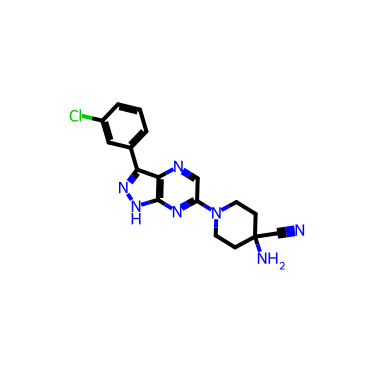 N#CC1(N)CCN(c2cnc3c(-c4cccc(Cl)c4)n[nH]c3n2)CC1